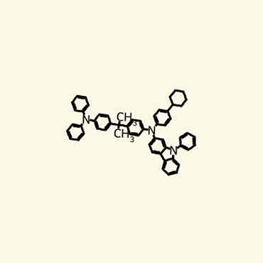 CC(C)(c1ccc(N(c2ccccc2)c2ccccc2)cc1)c1ccc(N(c2ccc(C3CCCCC3)cc2)c2ccc3c4ccccc4n(-c4ccccc4)c3c2)cc1